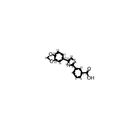 O=C(O)c1cccc(-c2nc(-c3ccc4c(c3)OCO4)cs2)c1